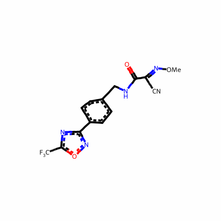 CO/N=C(\C#N)C(=O)NCc1ccc(-c2noc(C(F)(F)F)n2)cc1